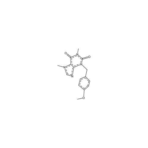 COc1ccc(Cn2c(=O)n(C)c(=O)c3c2ncn3C)cc1